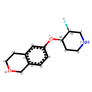 F[C@H]1CNCC[C@H]1Oc1ccc2c(c1)CCOC2